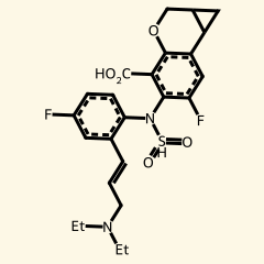 CCN(CC)CC=Cc1cc(F)ccc1N(c1c(F)cc2c(c1C(=O)O)OCC1CC21)[SH](=O)=O